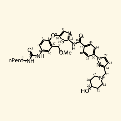 CCCCCNC(=O)Nc1ccc(Oc2cnc(NC(=O)c3ccc(-n4ccc(CN5CCC(O)CC5)n4)cc3)s2)c(COC)c1